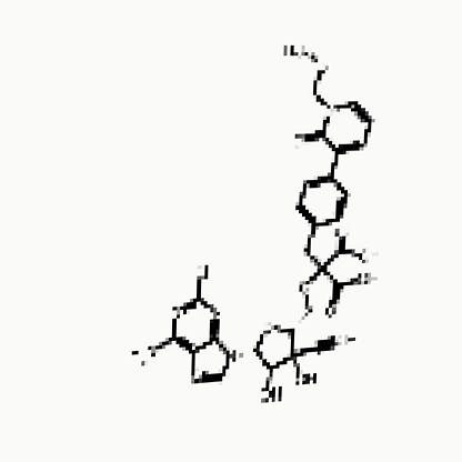 C#C[C@@]1(O)[C@@H](COC(Cc2ccc(-c3cccn(COC)c3=O)cc2)(C(=O)O)C(=O)O)O[C@@H](n2cnc3c(N)nc(Cl)nc32)[C@@H]1O